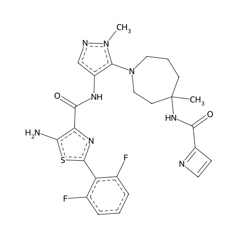 Cn1ncc(NC(=O)c2nc(-c3c(F)cccc3F)sc2N)c1N1CCCC(C)(NC(=O)C2=NC=C2)CC1